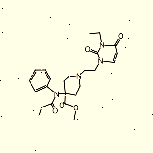 CCC(=O)N(c1ccccc1)C1(C(=O)OC)CCN(CCn2ccc(=O)n(CC)c2=O)CC1